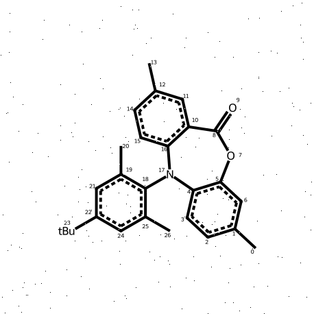 Cc1ccc2c(c1)OC(=O)c1cc(C)ccc1N2c1c(C)cc(C(C)(C)C)cc1C